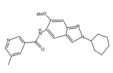 COc1cc2nn(C3CCCCC3)cc2cc1NC(=O)c1cncc(C)c1